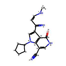 CN/C=C\C(=N)c1cn(C2CCCC2)c2c(C#N)c[nH]c(=O)c12